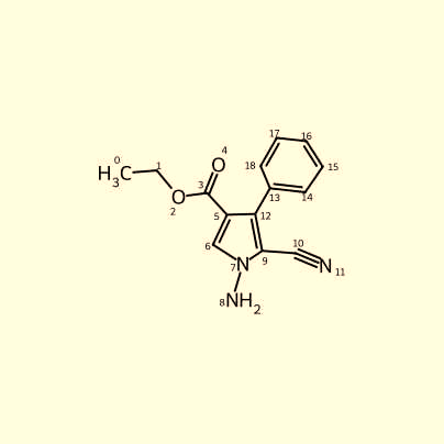 CCOC(=O)c1cn(N)c(C#N)c1-c1ccccc1